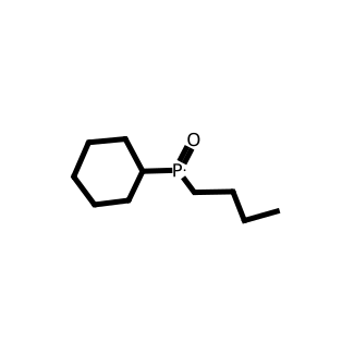 CCCC[P](=O)C1CCCCC1